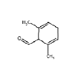 CC1=CCC=C(C)C1C=O